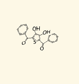 O=C(c1ccccc1)c1sc(C(=O)c2ccccc2)c(O)c1O